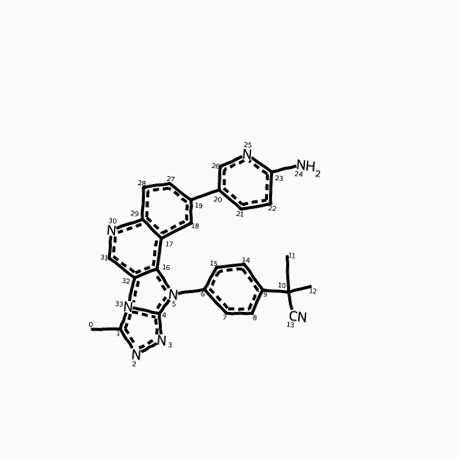 Cc1nnc2n(-c3ccc(C(C)(C)C#N)cc3)c3c4cc(-c5ccc(N)nc5)ccc4ncc3n12